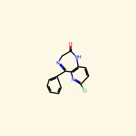 O=C1CN=C(c2ccccc2)c2nc(Cl)ccc2N1